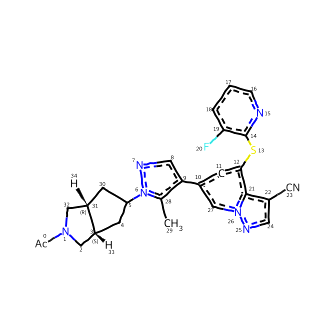 CC(=O)N1C[C@H]2CC(n3ncc(-c4cc(Sc5ncccc5F)c5c(C#N)cnn5c4)c3C)C[C@H]2C1